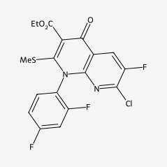 CCOC(=O)c1c(SC)n(-c2ccc(F)cc2F)c2nc(Cl)c(F)cc2c1=O